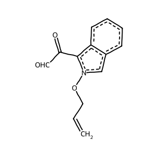 C=CCOn1cc2ccccc2c1C(=O)C=O